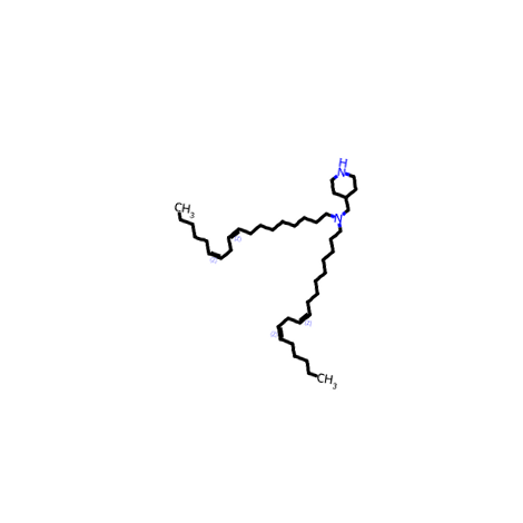 CCCCC/C=C\C/C=C\CCCCCCCCN(CCCCCCCC/C=C\C/C=C\CCCCC)CC1CCNCC1